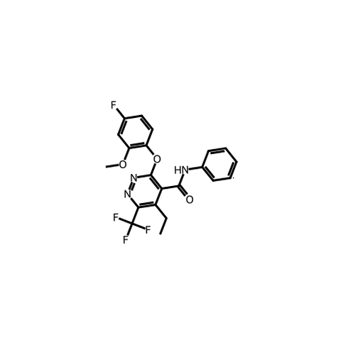 CCc1c(C(F)(F)F)nnc(Oc2ccc(F)cc2OC)c1C(=O)Nc1c[c]ccc1